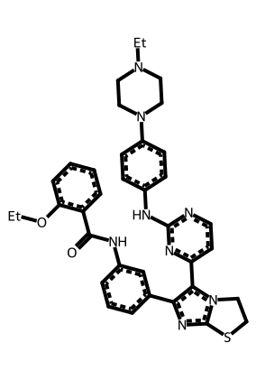 CCOc1ccccc1C(=O)Nc1cccc(-c2nc3n(c2-c2ccnc(Nc4ccc(N5CCN(CC)CC5)cc4)n2)CCS3)c1